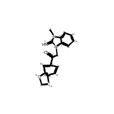 Cn1c(=N)n(CC(=O)c2ccc3c(c2)OCO3)c2ccccc21